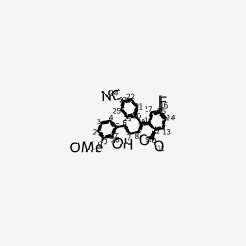 COc1cccc(C=Cc2oc(=O)c3ccc(F)cc3c2-c2ccc(C#N)cc2)c1O